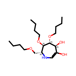 CCCCOC[C@H]1NC=C(O)[C@H](O)[C@@H](OCCCC)[C@@H]1OCCCC